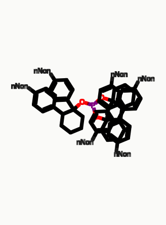 CCCCCCCCCc1ccc(C2CCCCC2(OP(OC2(c3ccc(CCCCCCCCC)cc3)CCCCC2c2ccc(CCCCCCCCC)cc2)OC2(c3ccc(CCCCCCCCC)cc3)CCCCC2c2ccc(CCCCCCCCC)cc2)c2ccc(CCCCCCCCC)cc2)cc1